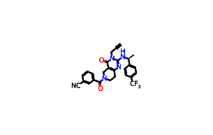 C#CCn1c(N[C@@H](C)c2ccc(C(F)(F)F)cc2)nc2c(c1=O)CN(C(=O)c1cccc(C#N)c1)CC2